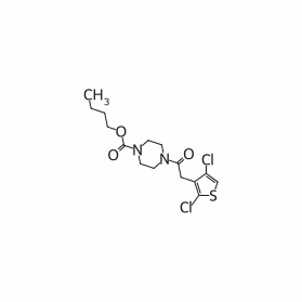 CCCCOC(=O)N1CCN(C(=O)Cc2c(Cl)csc2Cl)CC1